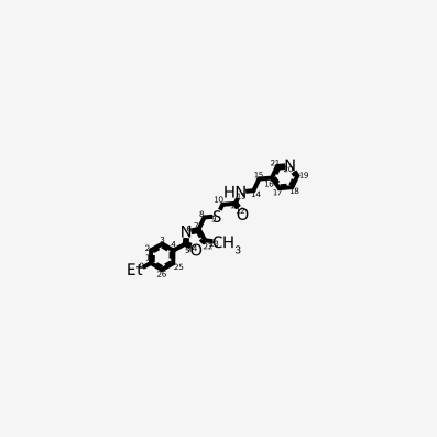 CCc1ccc(-c2nc(CSCC(=O)NCCc3cccnc3)c(C)o2)cc1